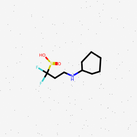 O=S(O)C(F)(F)CCNC1CCCCC1